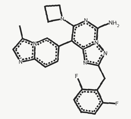 Cc1cnc2ccc(-c3c(N4CCC4)nc(N)n4nc(Cc5c(F)cccc5F)nc34)cn12